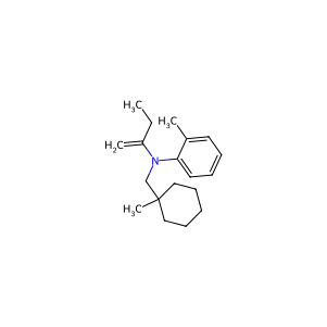 C=C(CC)N(CC1(C)CCCCC1)c1ccccc1C